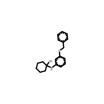 OC1(Nc2cccc(OCc3ccccc3)c2)CCCCC1